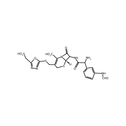 NC(C(=O)NC1C(=O)N2C(C(=O)O)=C(CSc3nnc(CS(=O)(=O)O)o3)CS[C@@H]12)c1cccc(NC=O)c1